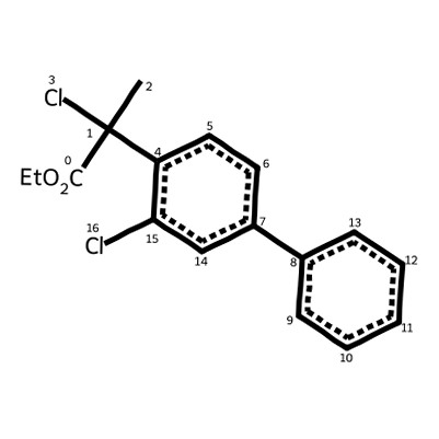 CCOC(=O)C(C)(Cl)c1ccc(-c2ccccc2)cc1Cl